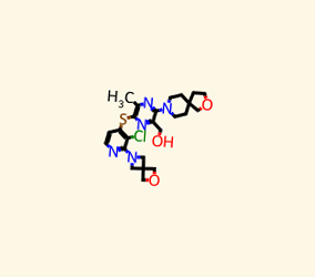 Cc1nc(N2CCC3(CCOC3)CC2)c(CO)nc1Sc1ccnc(N2CC3(COC3)C2)c1Cl